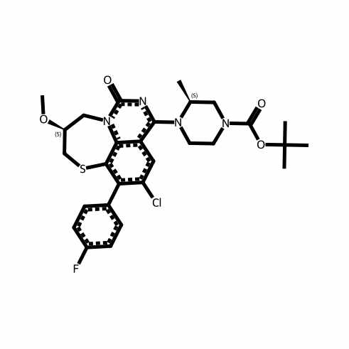 CO[C@@H]1CSc2c(-c3ccc(F)cc3)c(Cl)cc3c(N4CCN(C(=O)OC(C)(C)C)C[C@@H]4C)nc(=O)n(c23)C1